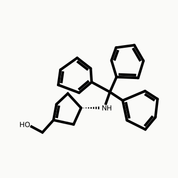 OCC1=CC[C@H](NC(c2ccccc2)(c2ccccc2)c2ccccc2)C1